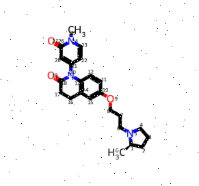 C[C@@H]1CCCN1CCCOc1ccc2c(c1)CCC(=O)N2c1ccn(C)c(=O)c1